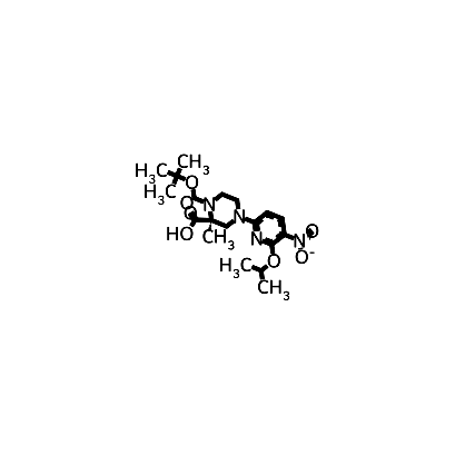 CC(C)Oc1nc(N2CCN(C(=O)OC(C)(C)C)[C@](C)(C(=O)O)C2)ccc1[N+](=O)[O-]